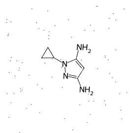 Nc1cc(N)n(C2CC2)n1